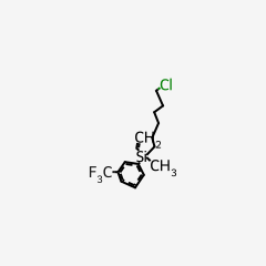 C=C[Si](C)(CCCCCCCl)c1cccc(C(F)(F)F)c1